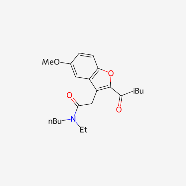 CCCCN(CC)C(=O)Cc1c(C(=O)C(C)CC)oc2ccc(OC)cc12